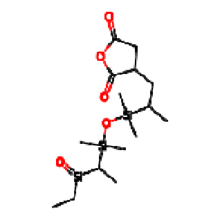 CC[Si](=O)C(C)[Si](C)(C)O[Si](C)(C)C(C)CC1CC(=O)OC1=O